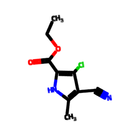 CCOC(=O)c1[nH]c(C)c(C#N)c1Cl